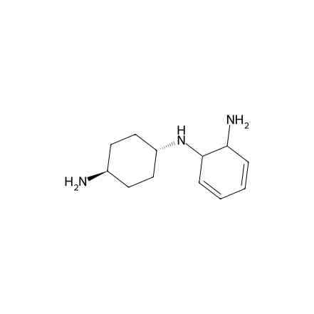 NC1C=CC=CC1N[C@H]1CC[C@H](N)CC1